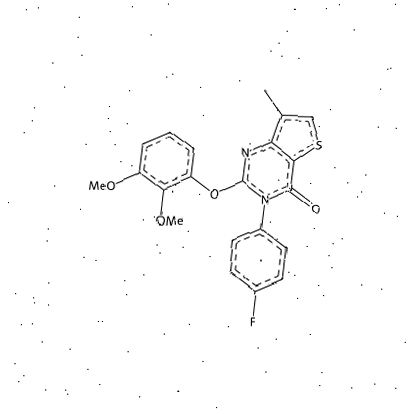 COc1cccc(Oc2nc3c(C)csc3c(=O)n2-c2ccc(F)cc2)c1OC